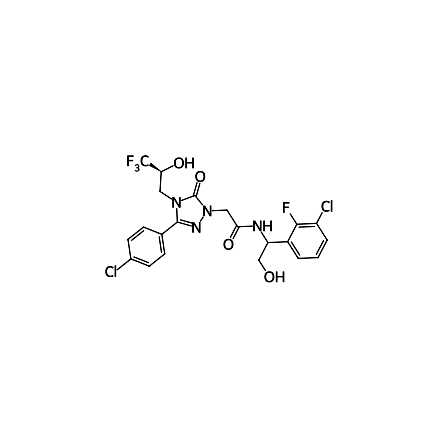 O=C(Cn1nc(-c2ccc(Cl)cc2)n(C[C@H](O)C(F)(F)F)c1=O)NC(CO)c1cccc(Cl)c1F